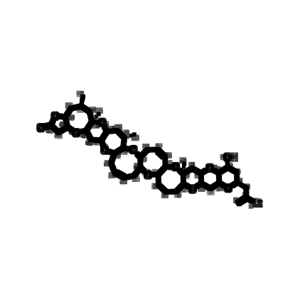 C=C(CC)C[C@@H]1C[C@H](O)C2OC3C[C@]4(C)OC5/C=C\CC6OC7C(C/C=C\CC6OC5CCCC4OC3CC2O1)OC1CC2OC3CC(=O)OC3C[C@@H](C)C[C@@]2(C)OC1C[C@@H]7C